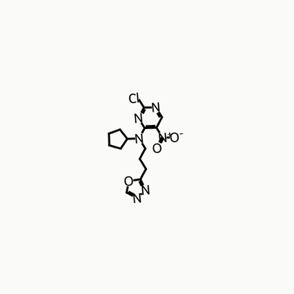 O=[N+]([O-])c1cnc(Cl)nc1N(CCCc1nnco1)C1CCCC1